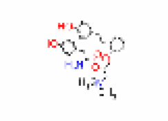 CN(C)CC(COc1ccccc1CCc1ccc(O)cc1)OC(=O)C(N)Cc1ccc(O)cc1